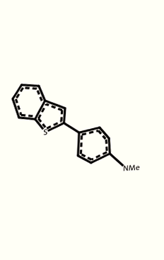 CNc1ccc(-c2cc3ccccc3s2)cc1